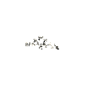 O=C1c2cc(Br)sc2SCCN1CCCCCl